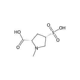 CN1C[C@@H](S(=O)(=O)O)C[C@H]1C(=O)O